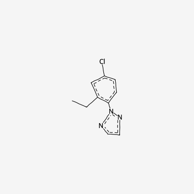 CCc1cc(Cl)ccc1-n1nccn1